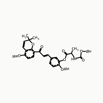 COc1ccc(C=CC(=O)c2ccc(OC)c3c2OC(C)(C)C=C3)cc1OC(=O)C(C)NC(=O)OC(C)(C)C